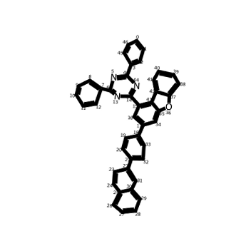 c1ccc(-c2nc(-c3ccccc3)nc(-c3cc(-c4ccc(-c5ccc6ccccc6c5)cc4)cc4oc5ccccc5c34)n2)cc1